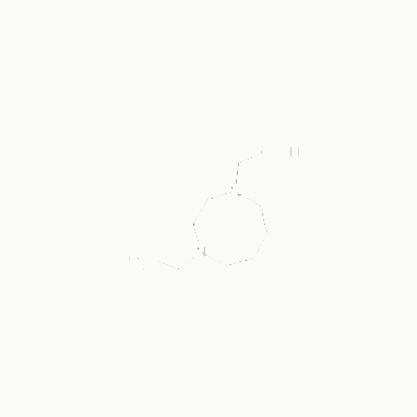 O=C(O)CN1CCCCN(CC(=O)O)CC1